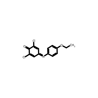 CCOc1ccc(N=C2C=C(Cl)C(=O)C(Cl)=C2)cc1